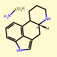 NC(=O)O.c1cc2c3c(c[nH]c3c1)C[C@H]1NCCCC21